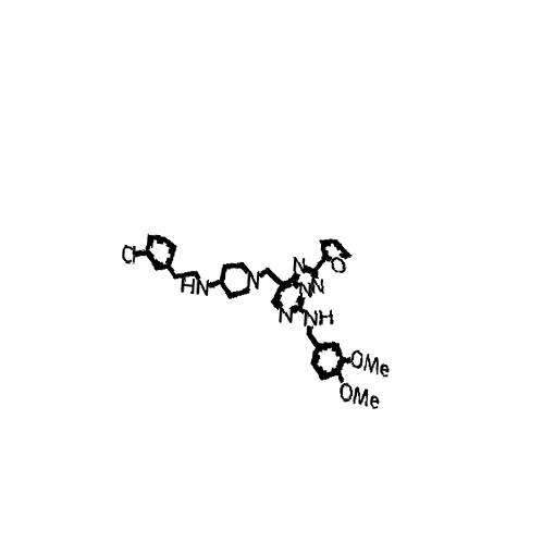 COc1ccc(CNc2ncc(CN3CCC(NCCc4cccc(Cl)c4)CC3)c3nc(-c4ccco4)nn23)cc1OC